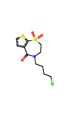 O=C1c2ccsc2S(=O)(=O)CCN1CCCCCl